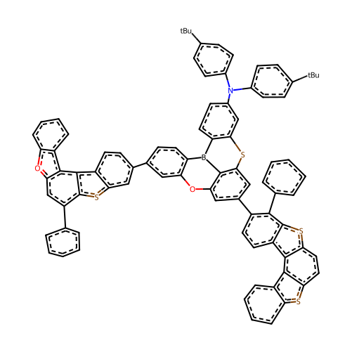 CC(C)(C)c1ccc(N(c2ccc(C(C)(C)C)cc2)c2ccc3c(c2)Sc2cc(-c4ccc5c(sc6ccc7sc8ccccc8c7c65)c4-c4ccccc4)cc4c2B3c2ccc(-c3ccc5c(c3)sc3c(-c6ccccc6)cc6oc7ccccc7c6c35)cc2O4)cc1